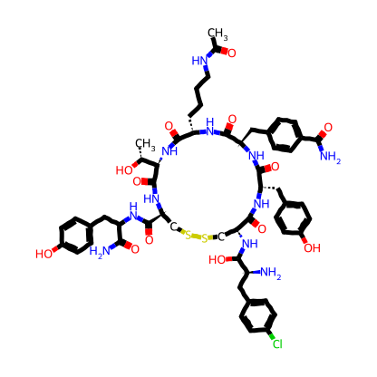 CC(=O)NCCCC[C@@H]1NC(=O)[C@@H](Cc2ccc(C(N)=O)cc2)NC(=O)[C@H](Cc2ccc(O)cc2)NC(=O)[C@H](NC(O)[C@@H](N)Cc2ccc(Cl)cc2)CSSC[C@@H](C(=O)NC(Cc2ccc(O)cc2)C(N)=O)NC(=O)[C@H]([C@@H](C)O)NC1=O